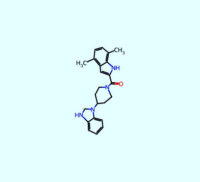 Cc1ccc(C)c2[nH]c(C(=O)N3CCC(N4[CH]Nc5ccccc54)CC3)cc12